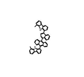 Cc1cccc2c1sc1c(-c3ccc(-c4c5ccccc5c(-c5cccc6c5sc5c(C)cccc56)c5ccccc45)c4ccccc34)cccc12